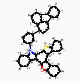 c1cc(-c2ccc3c4c(cccc24)-c2ccccc2-3)cc(-n2c3ccccc3c3c4oc5ccccc5c4c4c5ccccc5sc4c32)c1